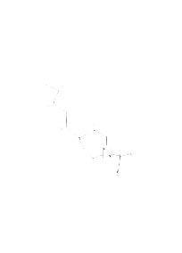 CCCCCC1CCN(C(C)C)CC1